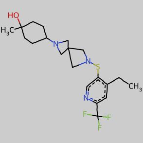 CCc1cc(C(F)(F)F)ncc1SN1CC2(C1)CN(C1CCC(C)(O)CC1)C2